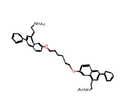 CC(=O)NCCc1cc(-c2ccccc2)cc2ccc(OCCCCCCOc3ccc4cc(-c5ccccc5)cc(CCNC(C)=O)c4c3)cc12